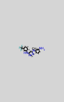 CN(c1cccc(N)c1)c1cc(Nc2cccc(C(F)(F)F)c2)ncn1